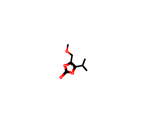 COCc1oc(=O)oc1C(C)C